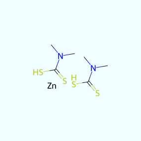 CN(C)C(=S)S.CN(C)C(=S)S.[Zn]